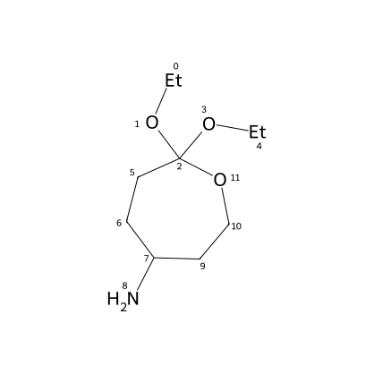 CCOC1(OCC)CCC(N)CCO1